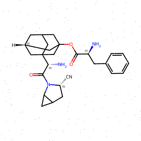 N#C[C@@H]1CC2CC2N1C(=O)[C@@H](N)C12CC3C[C@H](CC(OC(=O)[C@@H](N)Cc4ccccc4)(C3)C1)C2